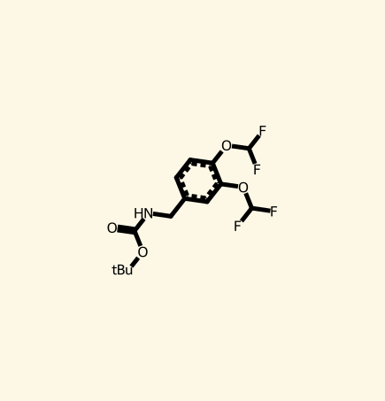 CC(C)(C)OC(=O)NCc1ccc(OC(F)F)c(OC(F)F)c1